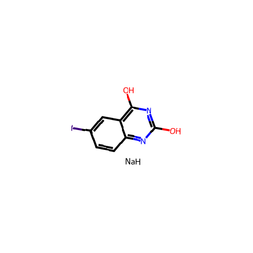 Oc1nc(O)c2cc(I)ccc2n1.[NaH]